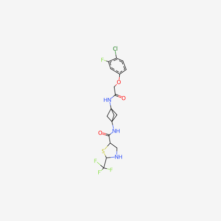 O=C(COc1ccc(Cl)c(F)c1)NC12CC(NC(=O)C3CNC(C(F)(F)F)S3)(C1)C2